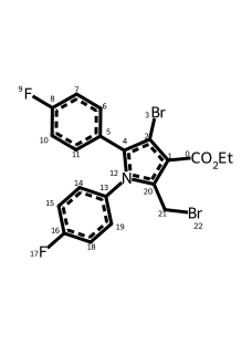 CCOC(=O)c1c(Br)c(-c2ccc(F)cc2)n(-c2ccc(F)cc2)c1CBr